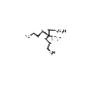 N#CCCCC(CCCC#N)(CC(=O)O)C(=O)O